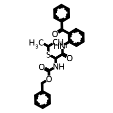 CC(C)SC(NC(=O)OCc1ccccc1)C(=O)Nc1ccccc1C(=O)c1ccccc1